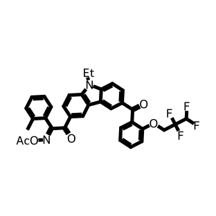 CCn1c2ccc(C(=O)/C(=N/OC(C)=O)c3ccccc3C)cc2c2cc(C(=O)c3ccccc3OCC(F)(F)C(F)F)ccc21